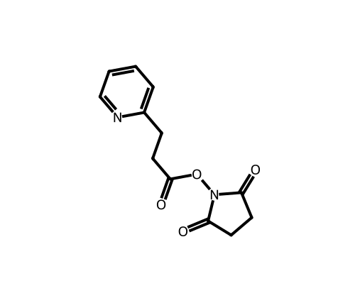 O=C(CCc1ccccn1)ON1C(=O)CCC1=O